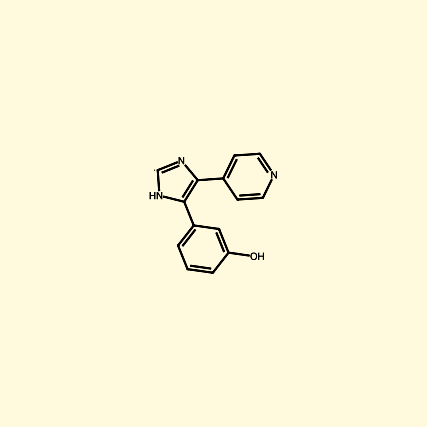 Oc1cccc(-c2[nH][c]nc2-c2ccncc2)c1